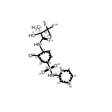 C[C@@](O)(C(=O)Nc1ccc(S(=O)(=O)Nc2cnccn2)cc1Cl)C(F)(F)F